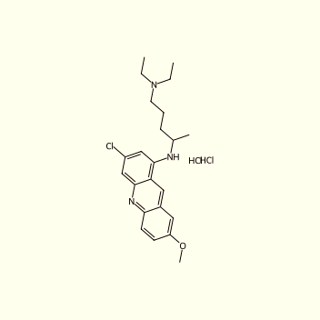 CCN(CC)CCCC(C)Nc1cc(Cl)cc2nc3ccc(OC)cc3cc12.Cl.Cl